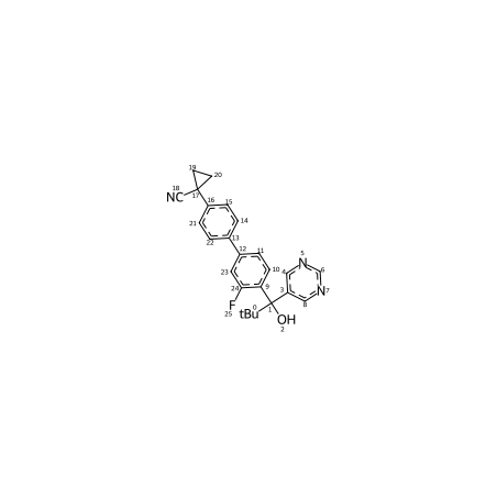 CC(C)(C)C(O)(c1cncnc1)c1ccc(-c2ccc(C3(C#N)CC3)cc2)cc1F